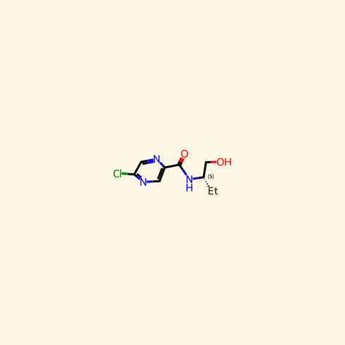 CC[C@@H](CO)NC(=O)c1cnc(Cl)cn1